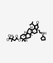 CC(C)C1=C2[C@H]3CC[C@@H]4[C@@]5(C)CC[C@H](OC(=O)CC(C)(C)C(=O)O)C(C)(C)[C@H]5CC[C@@]4(C)[C@]3(C)CC[C@@]2(CCNC2CCCC2)CC1=O